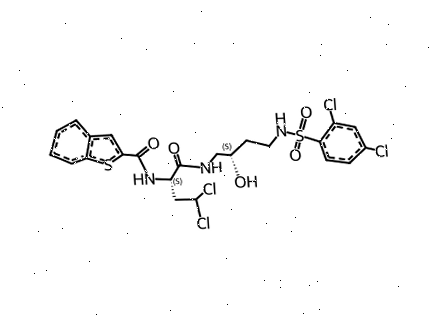 O=C(N[C@@H](CC(Cl)Cl)C(=O)NC[C@@H](O)CCNS(=O)(=O)c1ccc(Cl)cc1Cl)c1cc2ccccc2s1